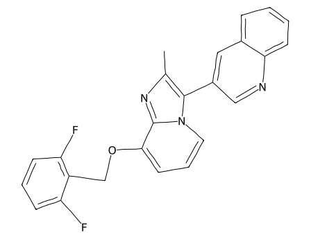 Cc1nc2c(OCc3c(F)cccc3F)cccn2c1-c1cnc2ccccc2c1